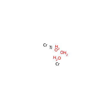 O.O.O.[Cr].[Cr].[Ti]